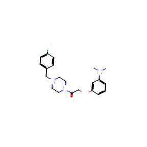 CN(C)c1cccc(OCC(=O)N2CCN(Cc3ccc(Cl)cc3)CC2)c1